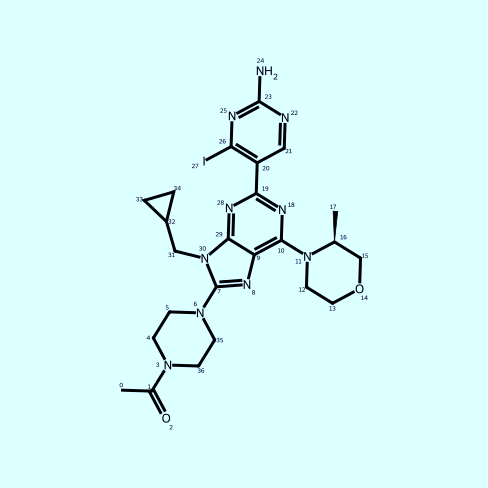 CC(=O)N1CCN(c2nc3c(N4CCOC[C@@H]4C)nc(-c4cnc(N)nc4I)nc3n2CC2CC2)CC1